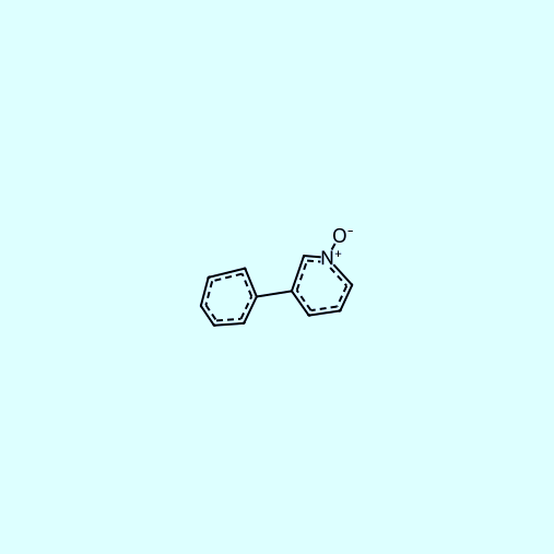 [O-][n+]1cccc(-c2ccccc2)c1